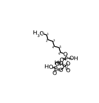 CCCCCCCOP(=O)(O)OP(=O)(O)OP(=O)(O)O